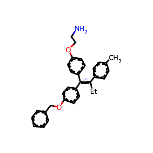 CC/C(=C(/c1ccc(OCCN)cc1)c1ccc(OCc2ccccc2)cc1)c1ccc(C)cc1